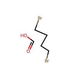 BrCCCCBr.O=CO